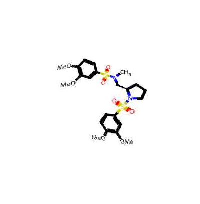 COc1ccc(S(=O)(=O)N(C)C[C@H]2CCCN2S(=O)(=O)c2ccc(OC)c(OC)c2)cc1OC